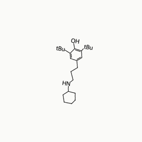 CC(C)(C)c1cc(CCCNC2CCCCC2)cc(C(C)(C)C)c1O